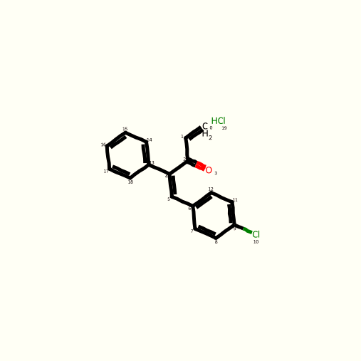 C=CC(=O)C(=Cc1ccc(Cl)cc1)c1ccccc1.Cl